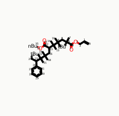 C=CCOC(=O)C(C)(CC(C)(C)C(C)(C)C(CC(C)(C)C(C)(C)C(CC(C)(C)C)c1ccccc1)C(=O)OCCCC)C(C)(C)C